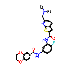 CCN(CC)Cc1ccc2cc(C(=O)Nc3cc(NC(=O)c4ccc5c(c4)OCCO5)ccc3F)sc2n1